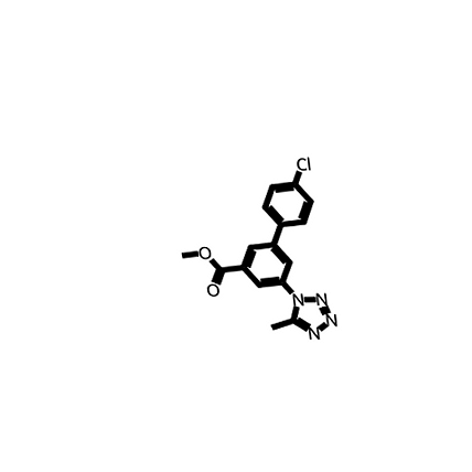 COC(=O)c1cc(-c2ccc(Cl)cc2)cc(-n2nnnc2C)c1